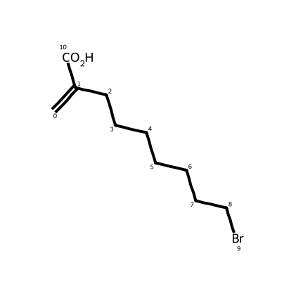 C=C(CCCCCCCBr)C(=O)O